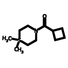 CS1(C)CCN(C(=O)C2CCC2)CC1